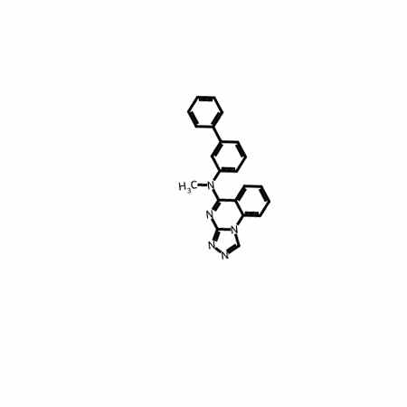 CN(c1cccc(-c2ccccc2)c1)c1nc2nncn2c2ccccc12